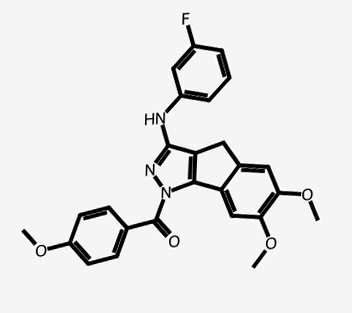 COc1ccc(C(=O)n2nc(Nc3cccc(F)c3)c3c2-c2cc(OC)c(OC)cc2C3)cc1